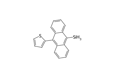 [SiH3]c1c2ccccc2c(-c2cccs2)c2ccccc12